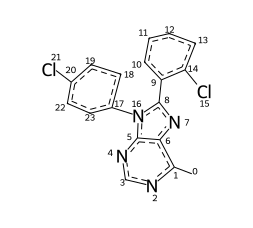 Cc1ncnc2c1nc(-c1ccccc1Cl)n2-c1ccc(Cl)cc1